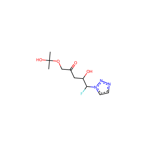 CC(C)(O)OCC(=O)CC(O)C(F)n1ccnn1